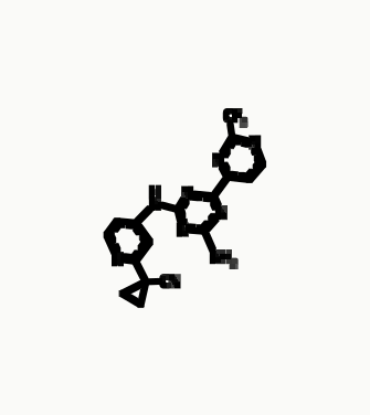 N#CC1(c2cc(Nc3nc(N)nc(-c4ccnc(C(F)(F)F)n4)n3)ccn2)CC1